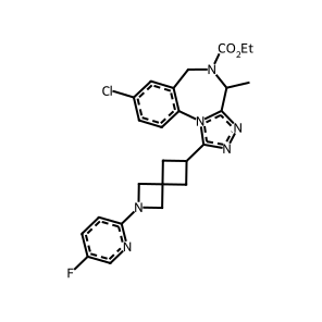 CCOC(=O)N1Cc2cc(Cl)ccc2-n2c(C3CC4(C3)CN(c3ccc(F)cn3)C4)nnc2C1C